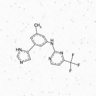 Cc1cc(Nc2nccc(C(F)(F)F)n2)cc(-c2cnc[nH]2)c1